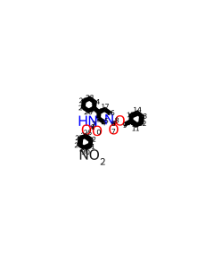 O=C(NC1CN(C(=O)OCc2ccccc2)CCC1C1CCCCC1)Oc1ccc([N+](=O)[O-])cc1